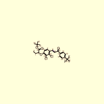 CCC(Oc1ccc(/C=C/C(=O)c2ccc(C(F)(F)F)cc2)c(Cl)c1Cl)C(=O)OC(C)(C)C